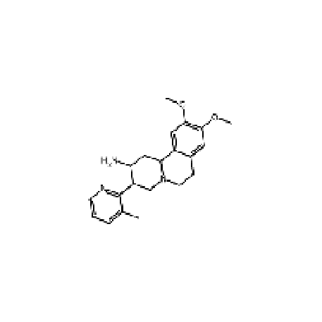 COc1cc2c(cc1OC)C1CC(N)C(c3ncccc3C)CN1CC2